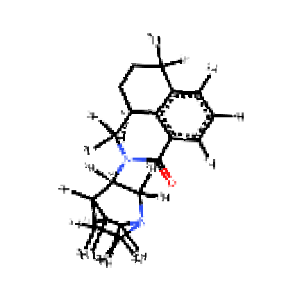 [2H]c1c([2H])c2c3c(c1[2H])C([2H])([2H])CC[C@@H]3C([2H])([2H])N([C@]1([2H])C([2H])([2H])N3C([2H])([2H])C([2H])([2H])C1([2H])C([2H])([2H])C3([2H])[2H])C2=O